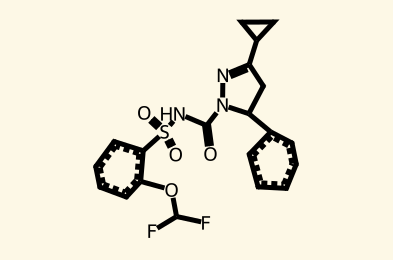 O=C(NS(=O)(=O)c1ccccc1OC(F)F)N1N=C(C2CC2)CC1c1ccccc1